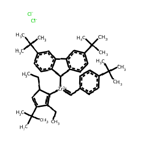 CCC1=[C](/[Zr+2](=[CH]/c2ccc(C(C)(C)C)cc2)[CH]2c3ccc(C(C)(C)C)cc3-c3cc(C(C)(C)C)ccc32)C(CC)C=C1C(C)(C)C.[Cl-].[Cl-]